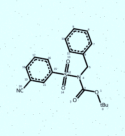 CC(C)(C)OC(=O)N(Cc1ccccc1)S(=O)(=O)c1cccc(C#N)c1